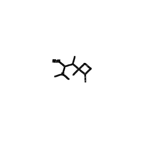 CNC(C(C)C1(C)CCC1C)N(C)C